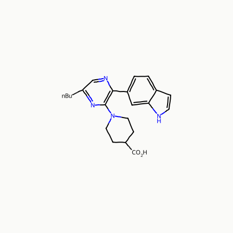 CCCCc1cnc(-c2ccc3cc[nH]c3c2)c(N2CCC(C(=O)O)CC2)n1